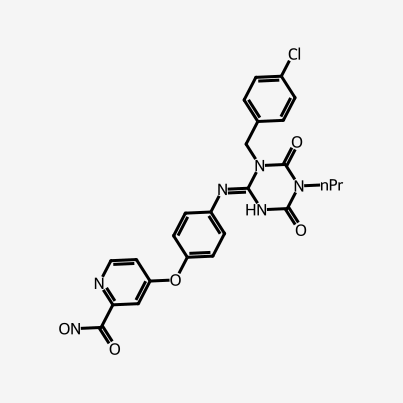 CCCn1c(=O)[nH]/c(=N\c2ccc(Oc3ccnc(C(=O)N=O)c3)cc2)n(Cc2ccc(Cl)cc2)c1=O